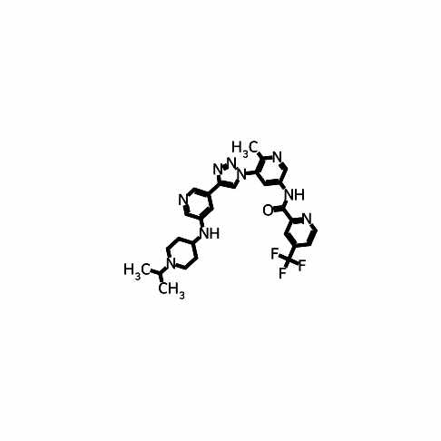 Cc1ncc(NC(=O)c2cc(C(F)(F)F)ccn2)cc1-n1cc(-c2cncc(NC3CCN(C(C)C)CC3)c2)nn1